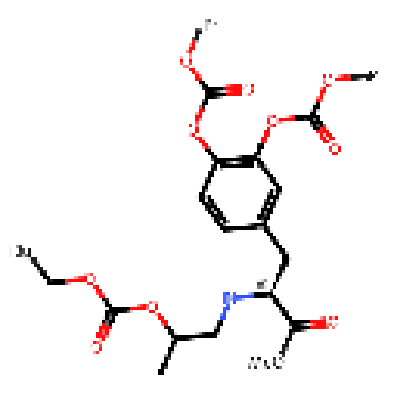 CCC(C)COC(=O)OC(C)CN[C@@H](Cc1ccc(OC(=O)OC(C)C)c(OC(=O)OC(C)C)c1)C(=O)OC